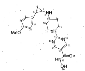 COc1ccc(C2CC2NC2CCN(c3ncc(C(=O)NO)cn3)CC2)cc1